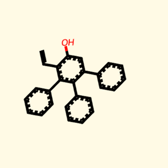 C=Cc1c(O)cc(-c2ccccc2)c(-c2ccccc2)c1-c1ccccc1